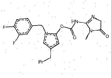 CC(C)Cc1cc(OC(=O)NC2=NCC(=O)N2C)n(Cc2ccc(F)c(F)c2)c1